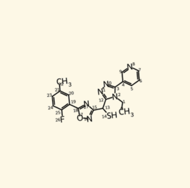 CCn1c(-c2cccnc2)nnc1C(S)c1noc(-c2cc(C)ccc2F)n1